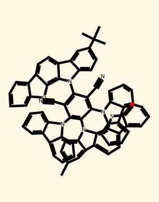 Cc1ccc2c(c1)c1ccc3c4ccccc4sc3c1n2-c1c(-n2c3ccccc3c3ccccc32)c(C#N)c(-n2c3ccc(C(C)(C)C)cc3c3ccc4c5ccccc5oc4c32)c(C#N)c1-n1c2ccccc2c2ccccc21